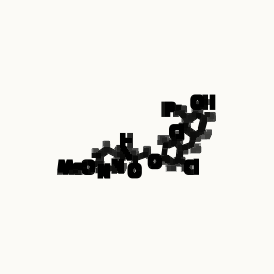 COc1ccc(NC(=O)COc2cc(Cl)c(Cc3ccc(O)c(C(C)C)c3)c(Cl)c2)nn1